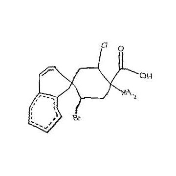 NC1(C(=O)O)CC(Br)C2(C=Cc3ccccc32)CC1Cl